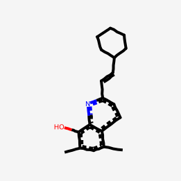 Cc1cc(C)c2ccc(C=CC3CCCCC3)nc2c1O